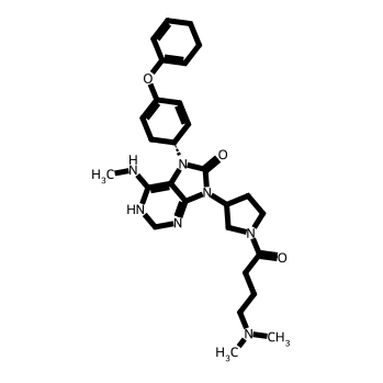 CNC1=c2c(n(C3CCN(C(=O)CCCN(C)C)C3)c(=O)n2[C@H]2C=CC(OC3=CCCC=C3)=CC2)=NCN1